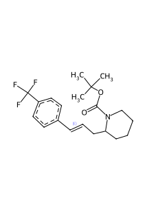 CC(C)(C)OC(=O)N1CCCCC1C/C=C/c1ccc(C(F)(F)F)cc1